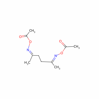 CC(=O)ON=C(C)CCC(C)=NOC(C)=O